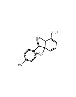 CC1C(C(=O)O)=CC=CC1(C(=O)O)C(=O)c1ccc(O)cc1